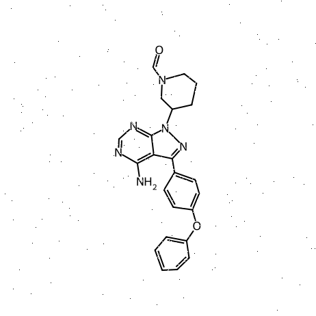 Nc1ncnc2c1c(-c1ccc(Oc3ccccc3)cc1)nn2C1CCCN(C=O)C1